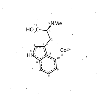 CN[C@@H](Cc1c[nH]c2ccccc12)C(=O)O.[Co+2]